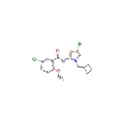 COc1ccc(Cl)cc1C(=O)N=c1sc(Br)cn1CC1CCC1